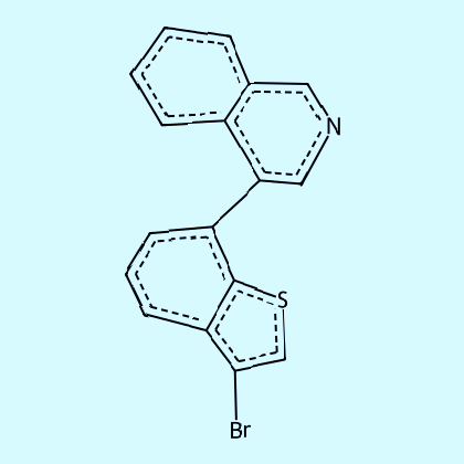 Brc1csc2c(-c3cncc4ccccc34)cccc12